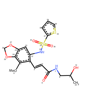 COc1c(/C=C/C(=O)NCC(C)O)c(NS(=O)(=O)c2cccs2)cc2c1OCO2